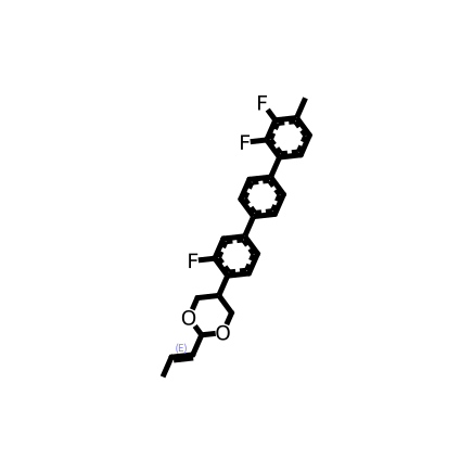 C/C=C/C1OCC(c2ccc(-c3ccc(-c4ccc(C)c(F)c4F)cc3)cc2F)CO1